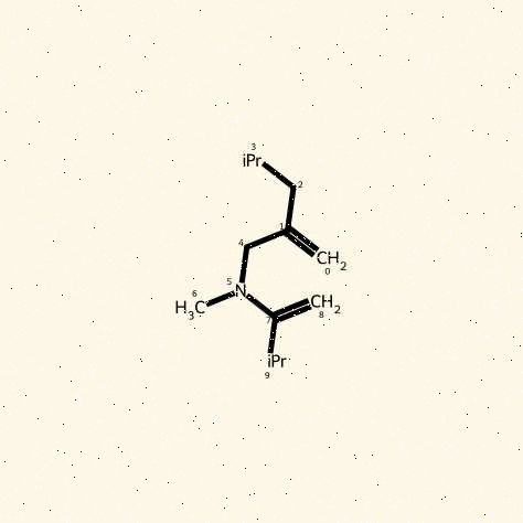 C=C(CC(C)C)CN(C)C(=C)C(C)C